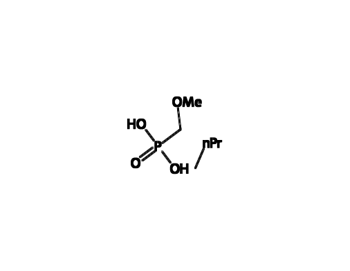 CCCC.COCP(=O)(O)O